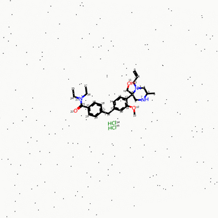 C=CCN1CC(C)NCC1(CO)c1ccc(Cc2ccc(C(=O)N(CC)CC)cc2)cc1OC.Cl.Cl